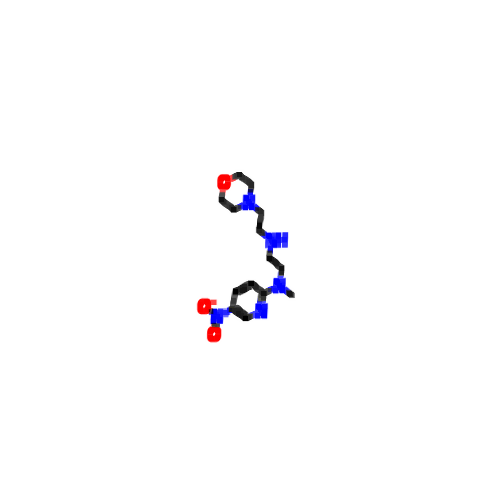 CN(CCNCCN1CCOCC1)c1ccc([N+](=O)[O-])cn1